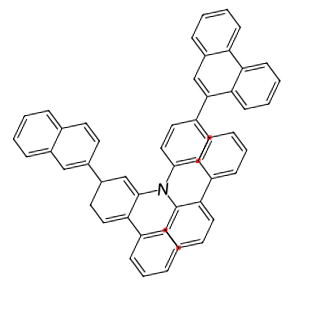 C1=C(c2ccccc2)C(N(c2ccc(-c3cc4ccccc4c4ccccc34)cc2)c2ccccc2-c2ccccc2)=CC(c2ccc3ccccc3c2)C1